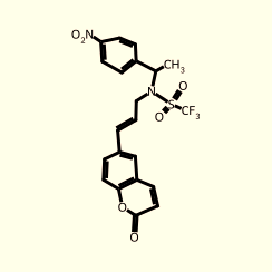 CC(c1ccc([N+](=O)[O-])cc1)N(CC=Cc1ccc2oc(=O)ccc2c1)S(=O)(=O)C(F)(F)F